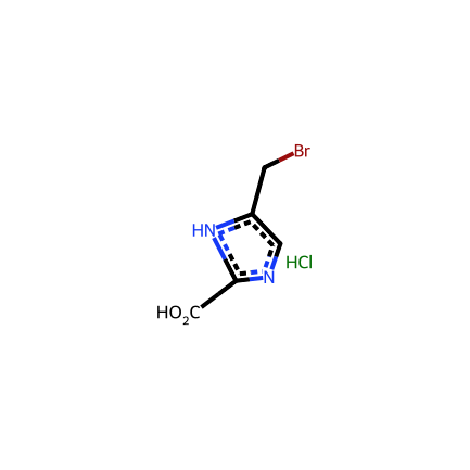 Cl.O=C(O)c1ncc(CBr)[nH]1